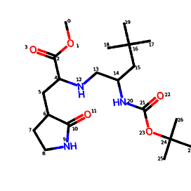 COC(=O)C(CC1CCNC1=O)NCC(CC(C)(C)C)NC(=O)OC(C)(C)C